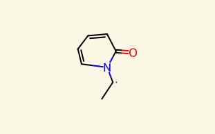 C[CH]n1ccccc1=O